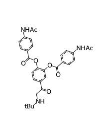 CC(=O)Nc1ccc(C(=O)Oc2ccc(C(=O)CNC(C)(C)C)cc2OC(=O)c2ccc(NC(C)=O)cc2)cc1